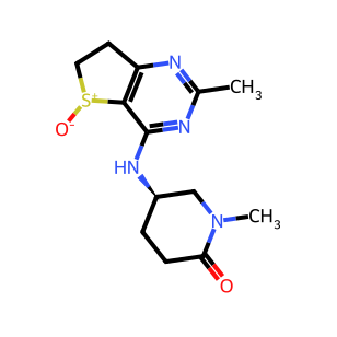 Cc1nc2c(c(N[C@@H]3CCC(=O)N(C)C3)n1)[S+]([O-])CC2